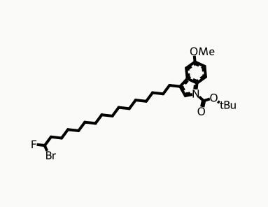 COc1ccc2c(c1)c(CCCCCCCCCCCCCCCC(F)Br)cn2C(=O)OC(C)(C)C